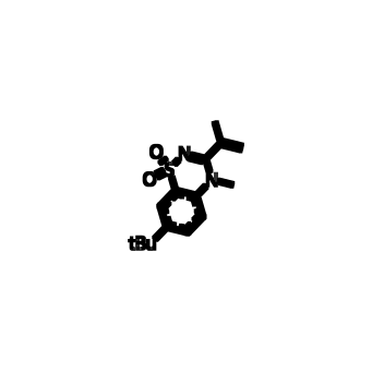 C=C(C)C1=NS(=O)(=O)c2cc(C(C)(C)C)ccc2N1C